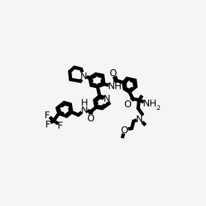 COCCN(C)CCC(C)(N)C(=O)c1cccc(C(=O)Nc2ccc(N3CCCCC3)cc2-c2cc(C(=O)NCc3cccc(C(F)(F)F)c3)ccn2)c1